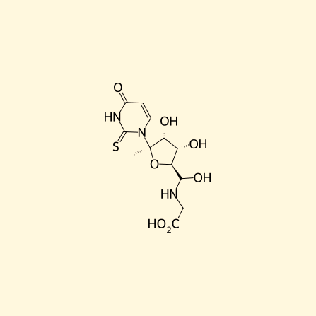 C[C@@]1(n2ccc(=O)[nH]c2=S)O[C@H](C(O)NCC(=O)O)[C@@H](O)[C@H]1O